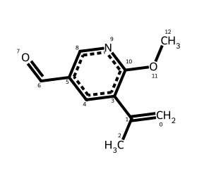 C=C(C)c1cc(C=O)cnc1OC